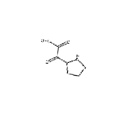 O=CC(=O)C(=O)C1CCSN1